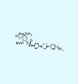 CCO[C@@H]1[C@@H](OC)[C@H](C)O[C@@H](OC(=O)Nc2ccc(N3CCN(c4ccc(OC(F)(F)F)cc4)CC3)cc2)[C@@H]1OC